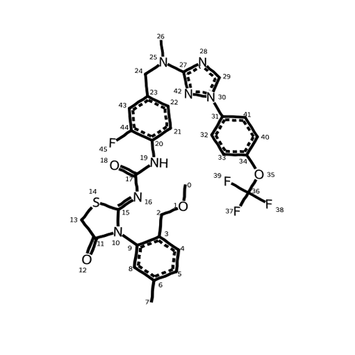 COCc1ccc(C)cc1N1C(=O)CSC1=NC(=O)Nc1ccc(CN(C)c2ncn(-c3ccc(OC(F)(F)F)cc3)n2)cc1F